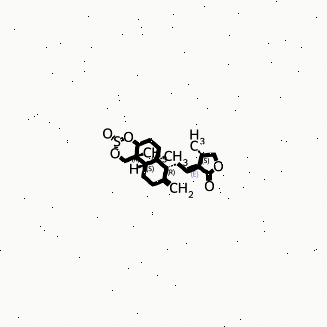 C=C1CC[C@H]2[C@@](C)(CCC3OS(=O)OC[C@]32C)[C@@H]1C/C=C1/C(=O)OC[C@H]1C